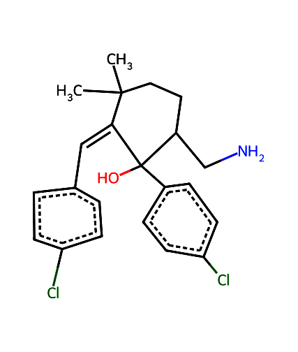 CC1(C)CCC(CN)C(O)(c2ccc(Cl)cc2)C1=Cc1ccc(Cl)cc1